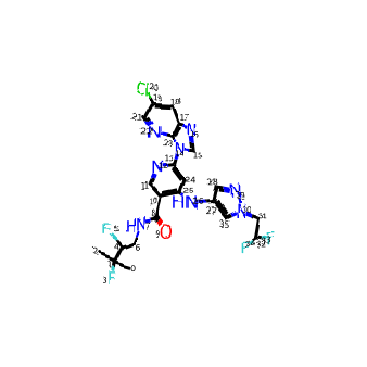 CC(C)(F)C(F)CNC(=O)c1cnc(-n2cnc3cc(Cl)cnc32)cc1Nc1cnn(CC(F)F)c1